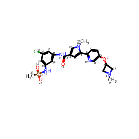 CN1CC(Oc2ccc(-c3cc(C(=O)Nc4cc(Cl)cc(NS(C)(=O)=O)c4)cn3C)nc2)C1